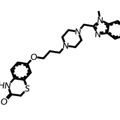 Cn1c(CN2CCN(CCCOc3ccc4c(c3)SCC(=O)N4)CC2)nc2ccccc21